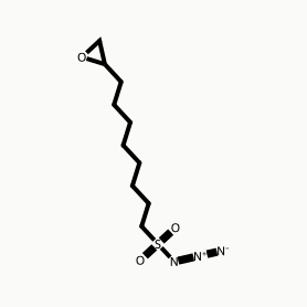 [N-]=[N+]=NS(=O)(=O)CCCCCCCCC1CO1